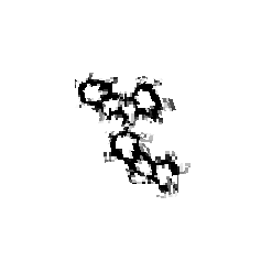 c1ccc2c(c1)nc1n(-c3ccc4oc5cnccc5c4c3)c3ccccc3n21